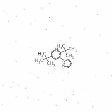 CC(C)(C)c1cnc(C(C)(C)C)c(-n2cccn2)c1